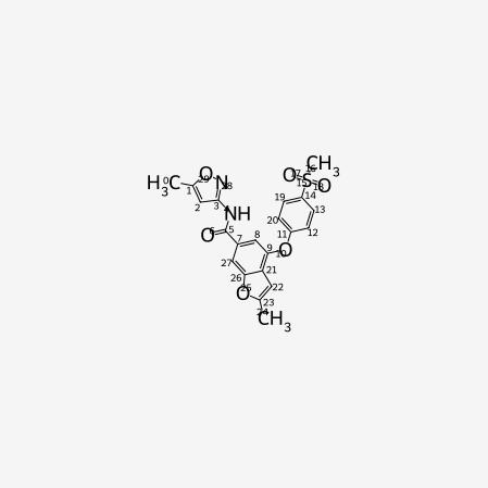 Cc1cc(NC(=O)c2cc(Oc3ccc(S(C)(=O)=O)cc3)c3cc(C)oc3c2)no1